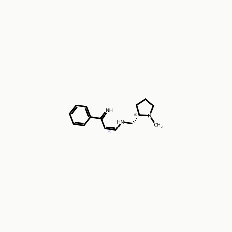 CN1CCC[C@H]1CN/C=C\C(=N)c1ccccc1